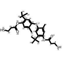 Cc1cc(OC(=O)CCS)c(C(C)(C)C)cc1Sc1cc(C(C)(C)C)c(OC(=O)CCS)cc1C